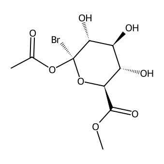 COC(=O)[C@H]1O[C@@](Br)(OC(C)=O)[C@H](O)[C@@H](O)[C@@H]1O